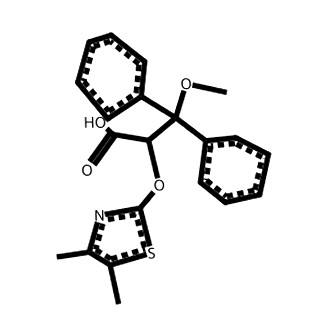 COC(c1ccccc1)(c1ccccc1)C(Oc1nc(C)c(C)s1)C(=O)O